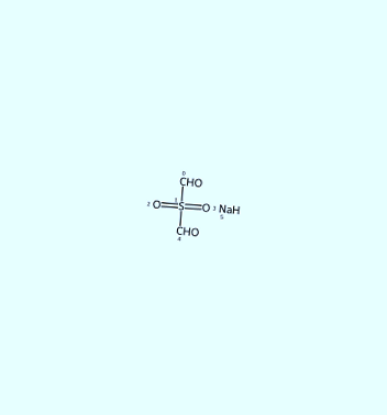 O=CS(=O)(=O)C=O.[NaH]